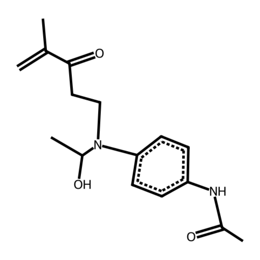 C=C(C)C(=O)CCN(c1ccc(NC(C)=O)cc1)C(C)O